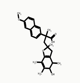 COc1ccc2cc(C(C)(CC3(C)CC4=C(O3)C(C)=C(C)C(O)C4C)C(=O)O)ccc2c1